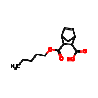 CCCCCOC(=O)C1C2C=CC(C2)C1C(=O)O